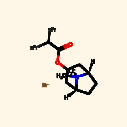 CCCC(CCC)C(=O)OC1C[C@H]2CC[C@H](C1)[N+]2(C)C.[Br-]